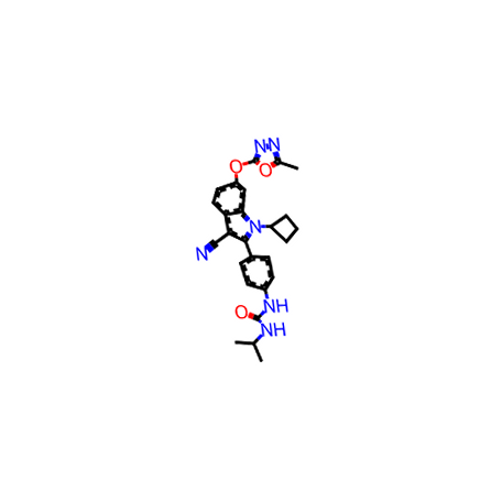 Cc1nnc(Oc2ccc3c(C#N)c(-c4ccc(NC(=O)NC(C)C)cc4)n(C4CCC4)c3c2)o1